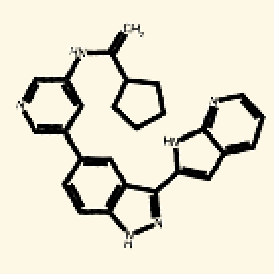 C=C(Nc1cncc(-c2ccc3[nH]nc(-c4cc5cccnc5[nH]4)c3c2)c1)C1CCCC1